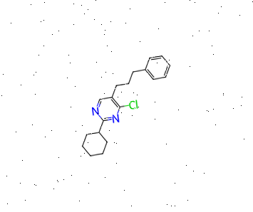 Clc1nc(C2CCCCC2)ncc1CCCc1ccccc1